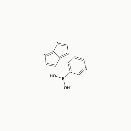 C1=CC2=CC=NC2=N1.OB(O)c1cccnc1